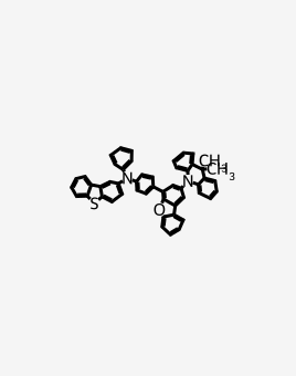 CC1(C)c2ccccc2N(c2cc(-c3ccc(N(c4ccccc4)c4ccc5sc6ccccc6c5c4)cc3)c3oc4ccccc4c3c2)c2ccccc21